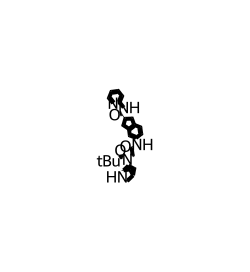 CC(C)(C)C(=O)N(CC(=O)Nc1ccc2c(c1)C[C@H](C(=O)Nc1ccccn1)C2)C1CC2CNC1C2